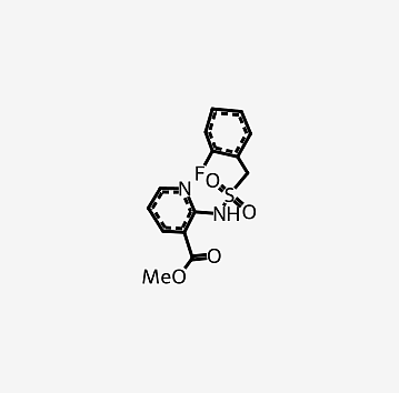 COC(=O)c1cccnc1NS(=O)(=O)Cc1ccccc1F